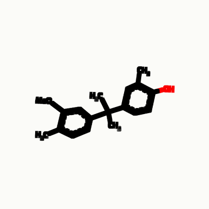 COc1cc(C(C)(C)c2ccc(O)c(C)c2)ccc1C